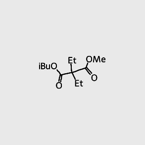 CCC(CC)(C(=O)OC)C(=O)OCC(C)C